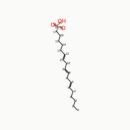 CCCCCC=CCC=CCC=CCCCCCS(=O)(=O)O